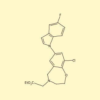 CCOC(=O)CN1CCOc2c(Cl)cc(-n3ccc4cc(F)ccc43)cc2C1